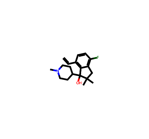 C=Cc1ccc(F)c2c1C(O)(C1CCN(C)CC1)C(C)(C)C2